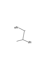 CCC[C]C(C)C(C)C